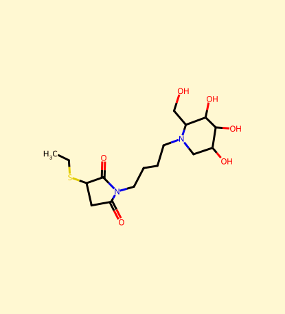 CCSC1CC(=O)N(CCCCN2CC(O)C(O)C(O)C2CO)C1=O